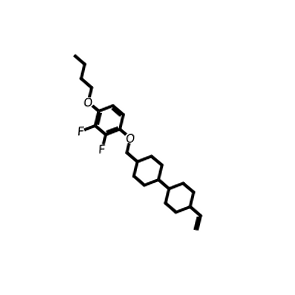 C=CC1CCC(C2CCC(COc3ccc(OCCCC)c(F)c3F)CC2)CC1